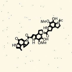 COC1=C(O)C2C(CCN2C(=O)C2Cc3c4c(c(O)c(OC)c3N2)N(C(C)=O)CC4)c2cc(C(=O)N3CC4CC45C3=CC(=O)c3[nH]cc(C)c35)[nH]c21